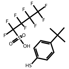 CC(C)(C)c1ccc(S)cc1.O=S(=O)(O)C(F)(F)C(F)(F)C(F)(F)C(F)(F)F